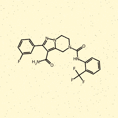 NC(=O)c1c(-c2cccc(F)c2)nn2c1CN(C(=O)Nc1ccccc1C(F)(F)F)CC2